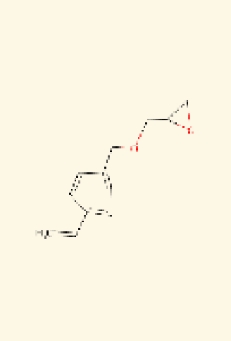 C=Cc1ccc(COCC2CO2)cc1